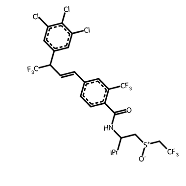 CC(C)C(C[S+]([O-])CC(F)(F)F)NC(=O)c1ccc(/C=C/C(c2cc(Cl)c(Cl)c(Cl)c2)C(F)(F)F)cc1C(F)(F)F